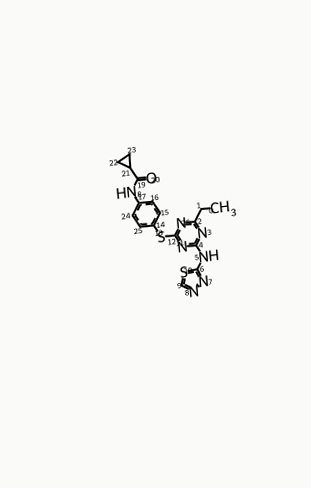 CCc1nc(Nc2nncs2)nc(Sc2ccc(NC(=O)C3CC3)cc2)n1